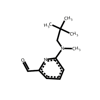 CN(CC(C)(C)C)c1cccc(C=O)n1